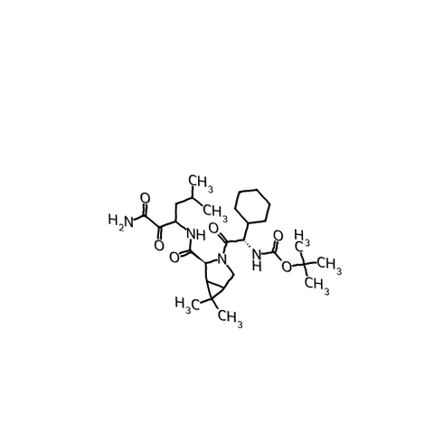 CC(C)CC(NC(=O)[C@@H]1C2C(CN1C(=O)[C@@H](NC(=O)OC(C)(C)C)C1CCCCC1)C2(C)C)C(=O)C(N)=O